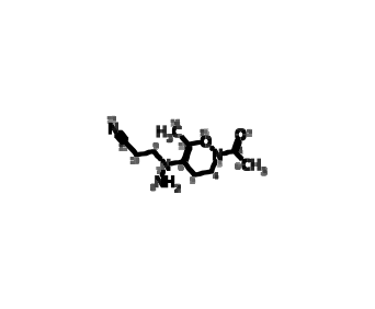 CC(=O)N1CCC(N(N)CCC#N)=C(C)O1